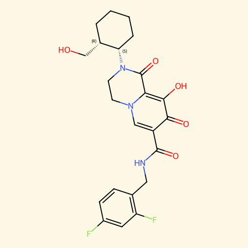 O=C(NCc1ccc(F)cc1F)c1cn2c(c(O)c1=O)C(=O)N([C@H]1CCCC[C@H]1CO)CC2